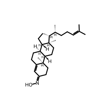 CC(C)=CCC[C@@H](C)[C@H]1CC[C@H]2[C@@H]3CCC4=CC(=NO)CC[C@]4(C)[C@H]3CC[C@]12C